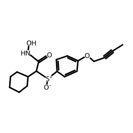 CC#CCOc1ccc([S+]([O-])C(C(=O)NO)C2CCCCC2)cc1